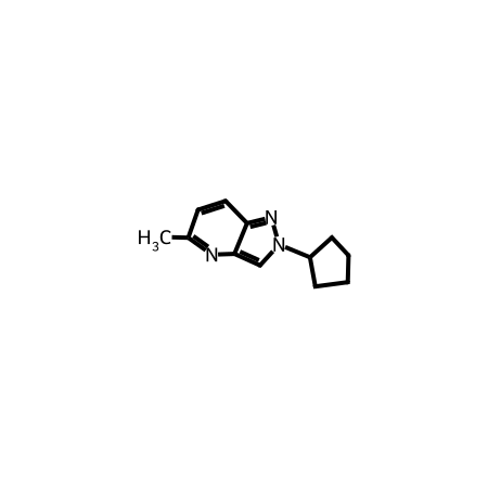 Cc1ccc2nn(C3CCCC3)cc2n1